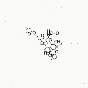 CCN(CCCOC1CCCCO1)C(=O)c1c(NC=O)nc(-c2ccc(OC3CCC[C@@H]3C)nc2C)n1Cc1ccc(Cl)cc1